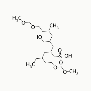 CCC(CCOCOC)CC(CC(CO)CC(C)CCOCOC)CS(=O)(=O)O